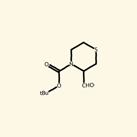 CC(C)(C)OC(=O)N1CCSCC1[C]=O